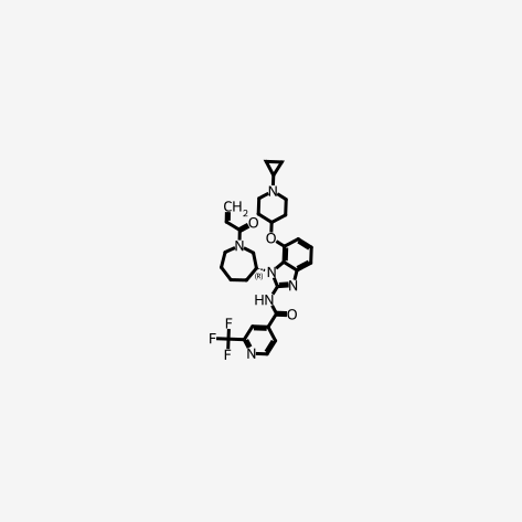 C=CC(=O)N1CCCC[C@@H](n2c(NC(=O)c3ccnc(C(F)(F)F)c3)nc3cccc(OC4CCN(C5CC5)CC4)c32)C1